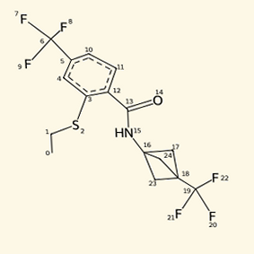 CCSc1cc(C(F)(F)F)ccc1C(=O)NC12CC(C(F)(F)F)(C1)C2